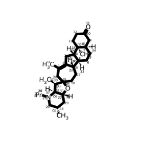 CC1=C2C[C@H]3[C@@H](CC[C@@H]4CC(=O)CC[C@@]43C)[C@@H]2CCC2(C1)O[C@@H]1C[C@H](C)CN(C(C)C)[C@H]1[C@H]2C